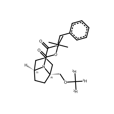 [2H]C([2H])([2H])OC[C@@]12CC[C@@H](CN(C(=O)OCc3ccccc3)C1)N2C(=O)OC(C)(C)C